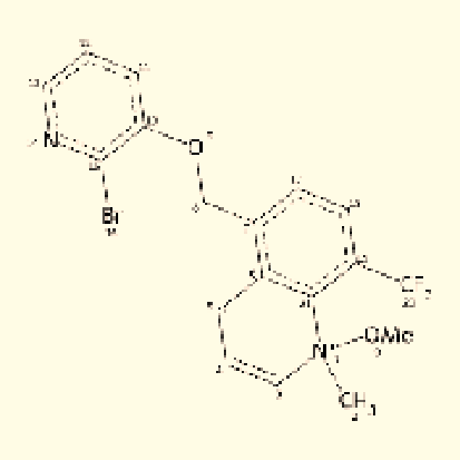 CO[N+]1(C)C=C[CH]c2c(COc3cccnc3Br)ccc(C(F)(F)F)c21